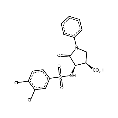 O=C(O)[C@@H]1CN(c2ccccc2)C(=O)[C@@H]1NS(=O)(=O)c1ccc(Cl)c(Cl)c1